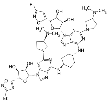 CCc1cc([C@H]2O[C@@H](n3cnc4c(N[C@H]5CC[C@H](Nc6nc(N7CC[C@@H](N(C)C)C7)nc7c6ncn7[C@@H]6O[C@H](c7cc(CC)no7)[C@@H](O)[C@H]6O)CC5)nc(N5CCC(N(C)C)C5)nc43)[C@H](O)[C@@H]2O)on1